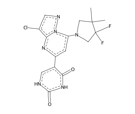 CC1(C)CN(c2cc(-c3c[nH]c(=O)[nH]c3=O)nc3c(Cl)cnn23)CC1(F)F